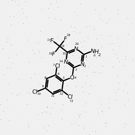 Nc1nc(Oc2c(Cl)cc(Cl)cc2Cl)nc(C(F)(F)F)n1